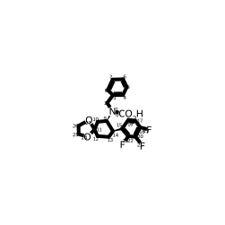 O=C(O)N(Cc1ccccc1)[C@H]1CC2(CC[C@@H]1c1ccc(F)c(F)c1F)OCCO2